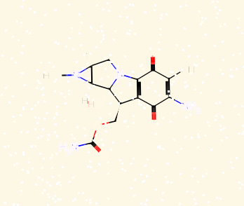 CC1=C(N)C(=O)C2=C(C1=O)N1C[C@H]3[C@H](N3C)[C@]1(O)[C@@H]2COC(N)=O